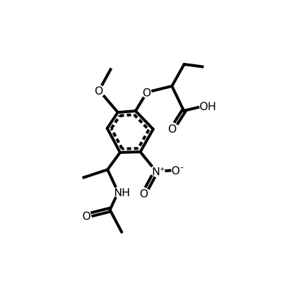 CCC(Oc1cc([N+](=O)[O-])c(C(C)NC(C)=O)cc1OC)C(=O)O